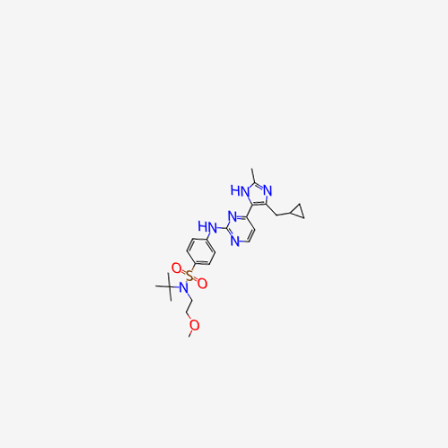 COCCN(C(C)(C)C)S(=O)(=O)c1ccc(Nc2nccc(-c3[nH]c(C)nc3CC3CC3)n2)cc1